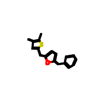 Cc1cc(Cc2ccc(Cc3ccccc3)o2)sc1C